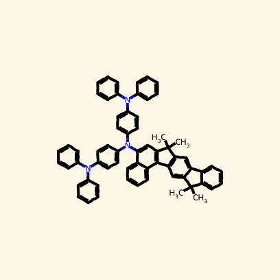 CC1(C)c2ccccc2-c2cc3c(cc21)-c1c(cc(N(c2ccc(N(c4ccccc4)c4ccccc4)cc2)c2ccc(N(c4ccccc4)c4ccccc4)cc2)c2ccccc12)C3(C)C